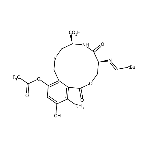 Cc1c(O)cc(OC(=O)C(F)(F)F)c2c1C(=O)OC[C@H](N=CC(C)(C)C)C(=O)N[C@H](C(=O)O)CSC2